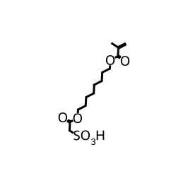 C=C(C)C(=O)OCCCCCCCCOC(=O)CS(=O)(=O)O